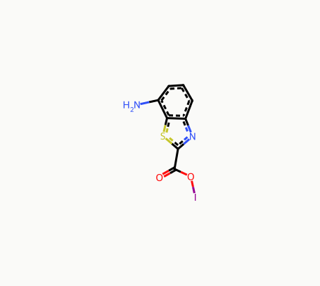 Nc1cccc2nc(C(=O)OI)sc12